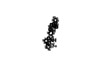 CCCCC(NC(=O)Cc1ccc(OC(C)(C)C(=O)NS(=O)(=O)Cc2ccccc2)cc1)c1ccccc1N1CCCCC1